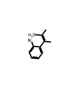 CC([SiH3])=C(C)c1ccccc1Br